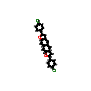 Clc1ccc(-c2cc3cc4cc5cc(-c6ccc(Cl)cc6)oc5cc4cc3o2)cc1